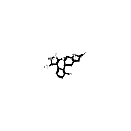 CC1=C(c2cccc(Cl)c2-c2ccc3c(c2)CC(=O)N3)C(C)NO1